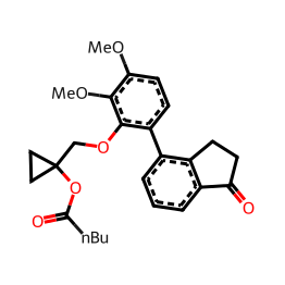 CCCCC(=O)OC1(COc2c(-c3cccc4c3CCC4=O)ccc(OC)c2OC)CC1